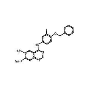 COc1cc2ncnc(Nc3ccc(OCc4ccccc4)c(C)c3)c2cc1N